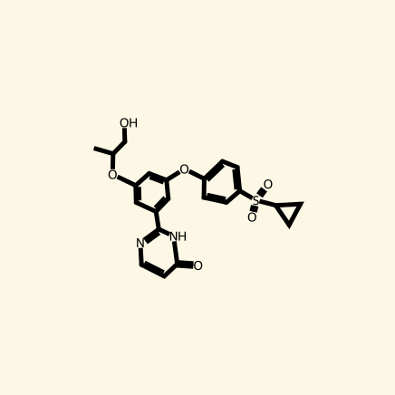 CC(CO)Oc1cc(Oc2ccc(S(=O)(=O)C3CC3)cc2)cc(-c2nccc(=O)[nH]2)c1